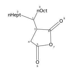 CCCCCCCCC(CCCCCCC)C1CC(=O)OC1=O